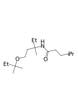 CCC(C)(CCOC(C)(C)CC)NC(=O)CCC(C)C